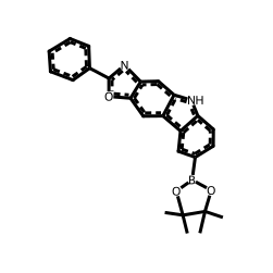 CC1(C)OB(c2ccc3[nH]c4cc5nc(-c6ccccc6)oc5cc4c3c2)OC1(C)C